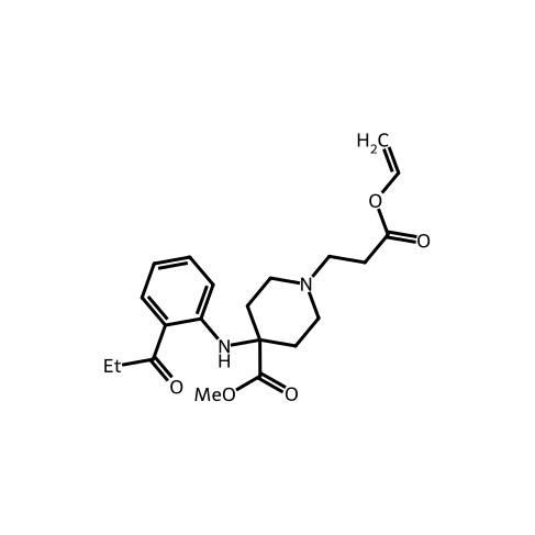 C=COC(=O)CCN1CCC(Nc2ccccc2C(=O)CC)(C(=O)OC)CC1